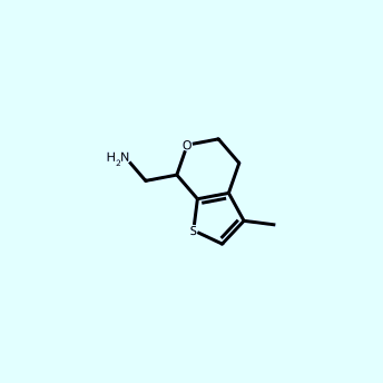 Cc1csc2c1CCOC2CN